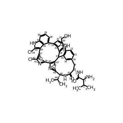 CC(C)C(N)C(=O)N[C@H]1Cc2ccc(O)c(c2)C2c3cccc(c3OCO)-c3cccc4[nH]c(Cl)c(c34)-c3oc(nc3Cl)-c3nc(oc32)[C@H](C(C)C)NC1=O